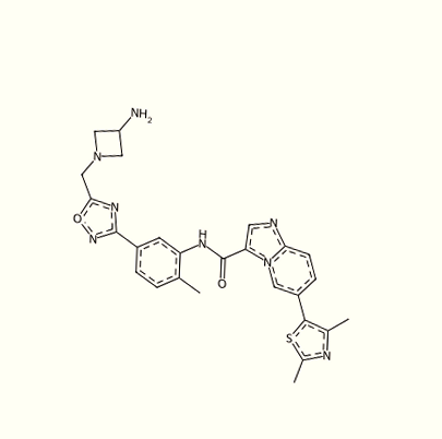 Cc1nc(C)c(-c2ccc3ncc(C(=O)Nc4cc(-c5noc(CN6CC(N)C6)n5)ccc4C)n3c2)s1